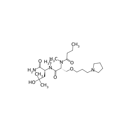 CCCC(=O)N(C)[C@H](COCCCN1CCCC1)C(=O)N(C)[C@@H](CC(C)(C)O)C(N)=O